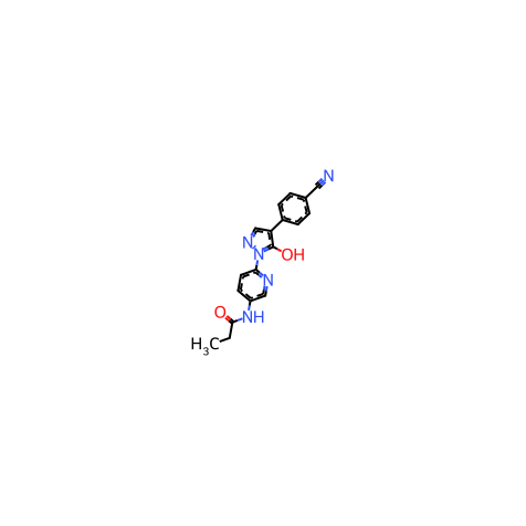 CCC(=O)Nc1ccc(-n2ncc(-c3ccc(C#N)cc3)c2O)nc1